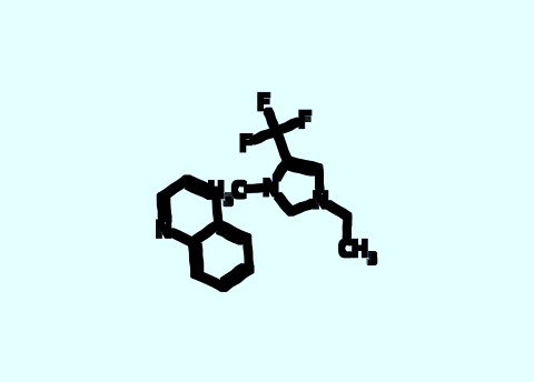 CCN1C=C(C(F)(F)F)N(C)C1.c1ccc2ncccc2c1